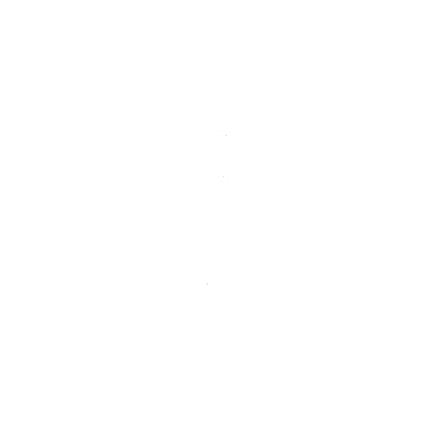 CC(/C=C/C1C/C(=N/OCCN2CCOCC2)CC[C@H]1C)=C\Cc1c(O)c(C=O)c(C)c(Cl)c1OCF